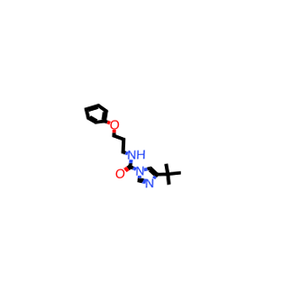 CC(C)(C)c1cn(C(=O)NCCCOc2ccccc2)cn1